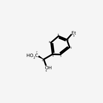 CCc1ccc([C@@H](O)C(=O)O)cc1